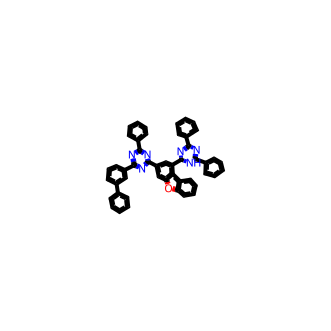 c1ccc(C2=NC(c3cc(-c4nc(-c5ccccc5)nc(-c5cccc(-c6ccccc6)c5)n4)cc4oc5ccccc5c34)NC(c3ccccc3)=N2)cc1